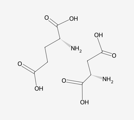 N[C@@H](CC(=O)O)C(=O)O.N[C@H](CCC(=O)O)C(=O)O